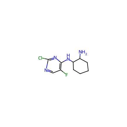 NC1CCCCC1Nc1nc(Cl)ncc1F